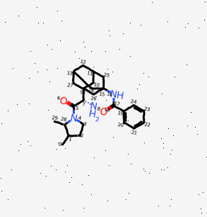 CC1CCN(C(=O)[C@@H](N)C23CC4CC(CC(NC(=O)c5ccccc5)(C4)C2)C3)C1C